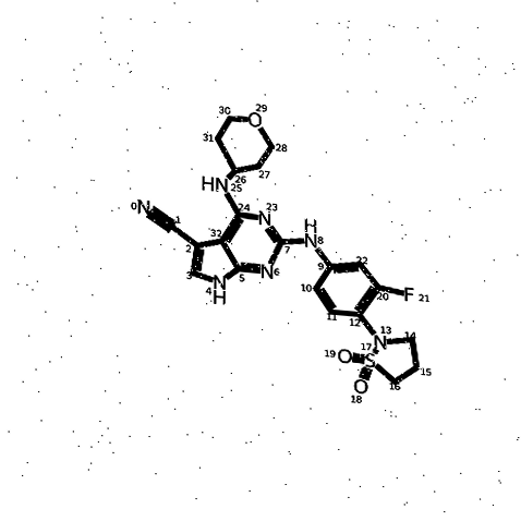 N#Cc1c[nH]c2nc(Nc3ccc(N4CCCS4(=O)=O)c(F)c3)nc(NC3CCOCC3)c12